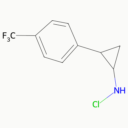 FC(F)(F)c1ccc(C2CC2NCl)cc1